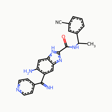 CC(NC(=O)c1nc2cc(C(=N)c3ccncc3)c(N)cc2[nH]1)c1cccc(C#N)c1